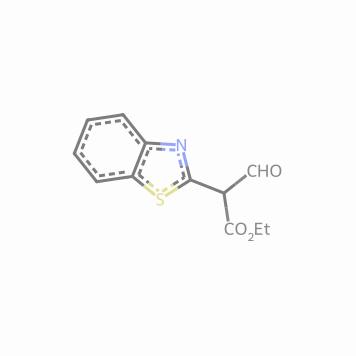 CCOC(=O)C(C=O)c1nc2ccccc2s1